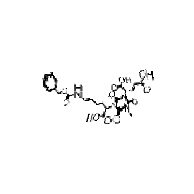 Cn1c(=O)n(C(CCCCNC(=O)OCc2ccccc2)C(=O)O)c(=O)n([C@@H](CCC(=O)O)C(=O)O)c1=O